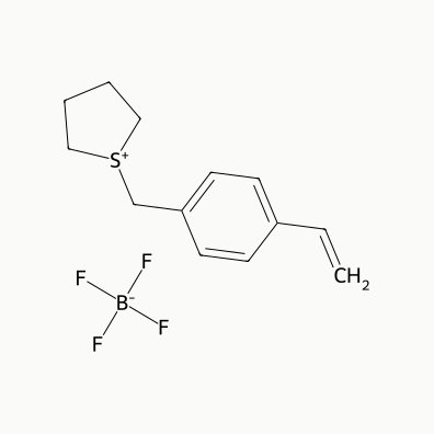 C=Cc1ccc(C[S+]2CCCC2)cc1.F[B-](F)(F)F